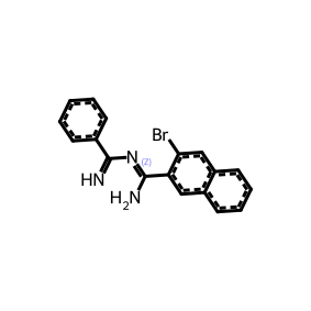 N=C(/N=C(\N)c1cc2ccccc2cc1Br)c1ccccc1